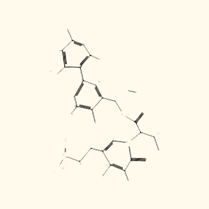 Cc1cc(C)c(-c2cc(C)c(F)c([C@H](CC(=O)O)NC(=O)C(CC(C)C)n3cc(CCN(C)C)c(C(F)(F)F)c(F)c3=O)c2)c(C)c1